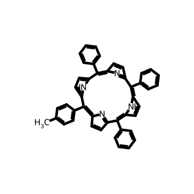 Cc1ccc(-c2c3nc(c(-c4ccccc4)c4ccc([nH]4)c(-c4ccccc4)c4nc(c(-c5ccccc5)c5ccc2[nH]5)C=C4)C=C3)cc1